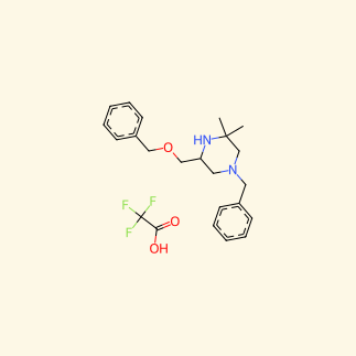 CC1(C)CN(Cc2ccccc2)CC(COCc2ccccc2)N1.O=C(O)C(F)(F)F